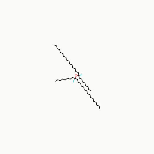 CCCCCCCCCCCCCCCCC(F)(CCCCCCCC)OC(F)(CCCCCCCC)CCCCCCCCCCCCCCCC